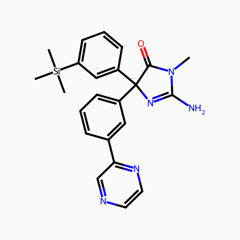 CN1C(=O)C(c2cccc(-c3cnccn3)c2)(c2cccc([Si](C)(C)C)c2)N=C1N